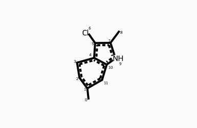 Cc1ccc2c(Cl)c(C)[nH]c2c1